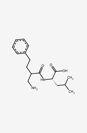 CC(C)C[C@H](NC(=O)C(CN)CCc1ccccc1)C(=O)O